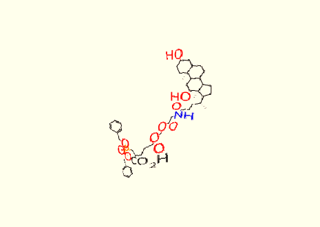 C[C@H](CCC(=O)NCC(=O)OCOC(=O)CCC(CP(=O)(OCc1ccccc1)OCc1ccccc1)C(=O)O)C1CCC2C3CCC4C[C@H](O)CC[C@]4(C)C3C[C@H](O)[C@@]21C